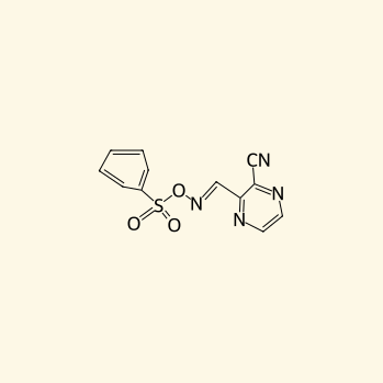 N#Cc1nccnc1C=NOS(=O)(=O)c1ccccc1